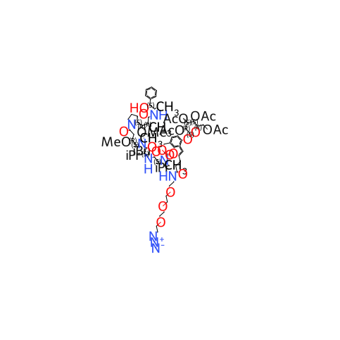 CCC(C)[C@@H]([C@@H](CC(=O)N1CCC[C@H]1[C@H](OC)[C@@H](C)C(=O)NC(C)[C@@H](O)c1ccccc1)OC)N(C)C(=O)[C@@H](NC(=O)[C@H](C(C)C)N(C)C(=O)OCc1ccc(O[C@@H]2O[C@H](COC(C)=O)[C@H](OC(C)=O)[C@H](OC(C)=O)[C@H]2OC(C)=O)c2cc(CCC(=O)NCCOCCOCCOCCN=[N+]=[N-])oc12)C(C)C